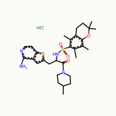 Cc1c(C)c(S(=O)(=O)NC(Cc2cc3c(N)nccc3s2)C(=O)N2CCC(C)CC2)c(C)c2c1OC(C)(C)CC2.Cl